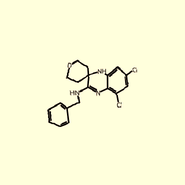 Clc1cc(Cl)c2c(c1)NC1(CCOCC1)C(NCc1ccccc1)=N2